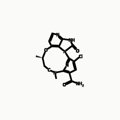 C[C@H]1CCN(C)c2nc(c(Cl)cc2C(N)=O)-n2c(=O)[nH]c3nccc(c32)O1